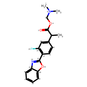 CC(C(=O)OCN(C)C)c1ccc(-c2nc3ccccc3o2)c(F)c1